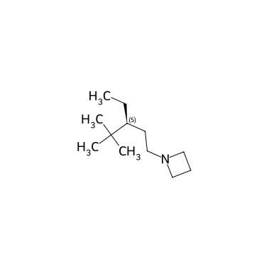 CC[C@@H](CCN1CCC1)C(C)(C)C